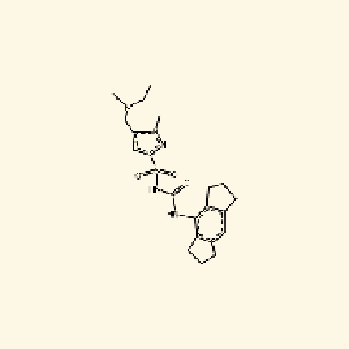 CCN(C)Cc1cc(S(=O)(=O)NC(=O)Nc2c3c(cc4c2CCC4)CCC3)nn1C